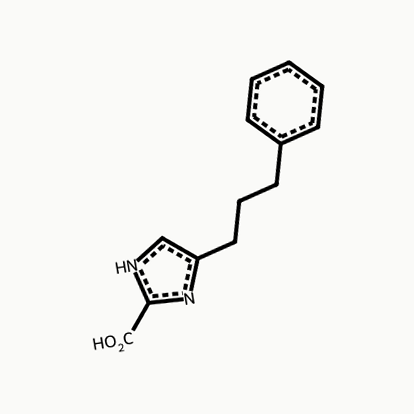 O=C(O)c1nc(CCCc2ccccc2)c[nH]1